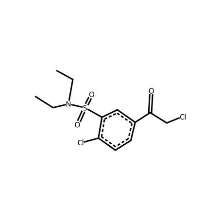 CCN(CC)S(=O)(=O)c1cc(C(=O)CCl)ccc1Cl